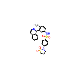 Cc1ccc(NS(=O)(=O)c2ccc(N3CCCS3(=O)=O)cc2)cc1-c1nccc2ccccc12